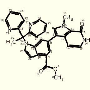 COC(=O)c1cc(-c2cn(C)c3c(=O)[nH]ccc23)cc2c1ccn2C(C)(c1ccccn1)c1ccccn1